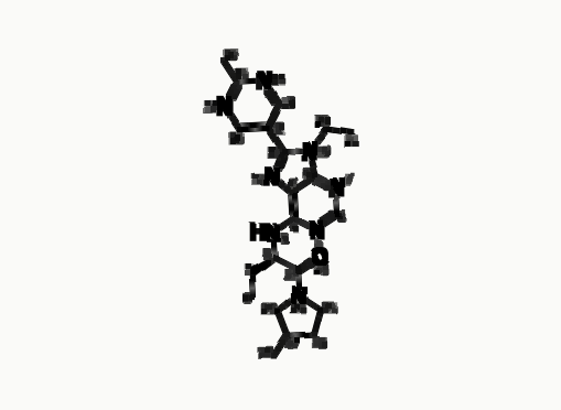 CC[C@@H](Nc1ncnc2c1nc(-c1cnc(C)nc1)n2CC)C(=O)N1CCC(C)C1